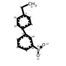 CCc1ccc(-c2cccc([N+](=O)[O-])c2)cc1